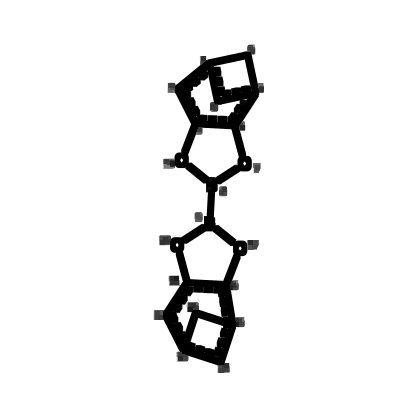 c1c2cc3c(c1C2)OB(B1Oc2cc4cc(c2O1)C4)O3